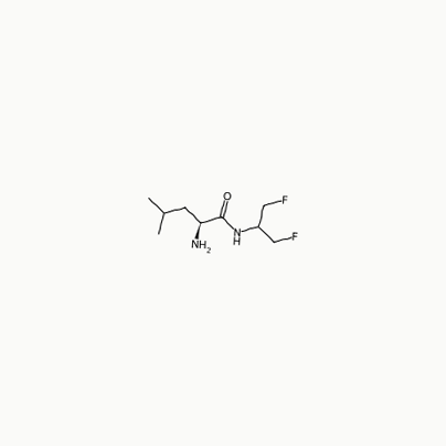 CC(C)C[C@H](N)C(=O)NC(CF)CF